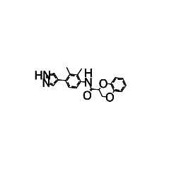 Cc1c(NC(=O)C2COc3ccccc3O2)ccc(-c2cn[nH]c2)c1C